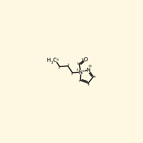 CCCC[N+]1([C]=O)C=CC=N1